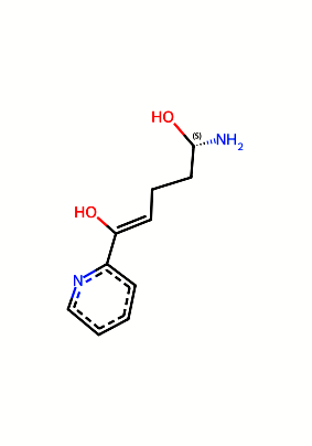 N[C@@H](O)CCC=C(O)c1ccccn1